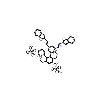 C(=C\c1cc2ccccc2o1)/c1cc(/C=C/c2cc3ccccc3o2)[n+]2c(c1)-c1c(ccc3c1-c1cccc[n+]1CC3)CC2.O=S(=O)([O-])C(F)(F)F.O=S(=O)([O-])C(F)(F)F